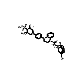 CC1CN(c2ccc(N3CCN(C(=O)NC4[C@@H]5CC6C[C@H]4CC(O)(C6)C5)c4ccccc43)cc2)CC(C)N1S(C)(=O)=O